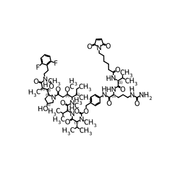 CC[C@H](C)C([C@@H](CC(=O)N1C[C@@H](O)C[C@H]1[C@H](OC)[C@@H](C)C(=O)NCCc1c(F)cccc1F)OC)N(C)C(=O)[C@@H](NC(=O)[C@H](C(C)C)N(C)C(=O)OCc1ccc(NC(=O)[C@H](CCCNC(N)=O)NC(=O)[C@@H](NC(=O)CCCCCN2C(=O)C=CC2=O)C(C)C)cc1)C(C)C